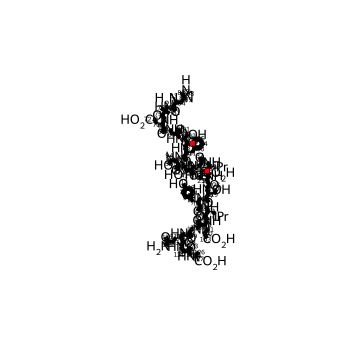 CC(C)C[C@H](NC(=O)[C@H](Cc1ccc(O)cc1)NC(=O)[C@H](CO)NC(=O)[C@H](CO)NC(=O)[C@@H](NC(=O)[C@H](CC(=O)O)NC(=O)[C@H](CO)NC(=O)[C@@H](NC(=O)[C@H](Cc1ccccc1)NC(=O)[C@@H](NC(=O)CNC(=O)[C@H](CCC(=O)O)NC(=O)C(C)(C)NC(=O)[C@@H](N)Cc1c[nH]cn1)[C@@H](C)O)[C@@H](C)O)C(C)C)C(=O)N[C@@H](CCC(=O)O)C(=O)NCC(=O)N[C@@H](CCC(N)=O)C(=O)N[C@@H](C)C(=O)N[C@@H](C)C(=O)O